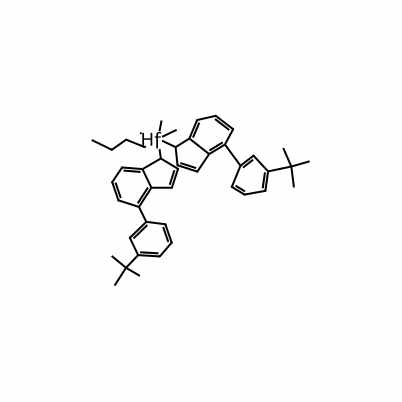 CCC[CH]=[Hf]([CH3])([CH3])([CH3])([CH]1C=Cc2c(-c3cccc(C(C)(C)C)c3)cccc21)[CH]1C=Cc2c(-c3cccc(C(C)(C)C)c3)cccc21